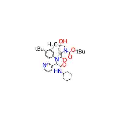 CC1(O)C[C@H](C(=O)N(c2ccc(C(C)(C)C)cc2)C(C(=O)NC2CCCCC2)c2cccnc2)N(C(=O)OC(C)(C)C)C1